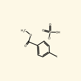 COC(=O)c1ccc(I)cc1.O=S(=O)(O)Cl